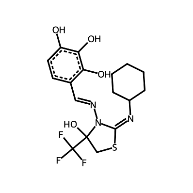 Oc1ccc(/C=N/N2/C(=N\C3CCCCC3)SCC2(O)C(F)(F)F)c(O)c1O